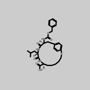 CC(C)C[C@@H]1NC(=O)[C@@H](NC(=O)OCc2ccccc2)Cc2ccc(cc2)OCCCCC[C@@H](C(=O)O)NC1=O